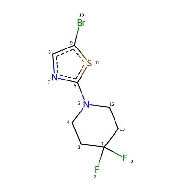 FC1(F)CCN(c2ncc(Br)s2)CC1